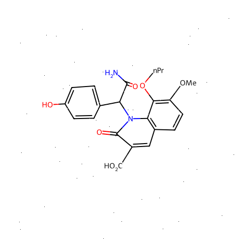 CCCOc1c(OC)ccc2cc(C(=O)O)c(=O)n(C(C(N)=O)c3ccc(O)cc3)c12